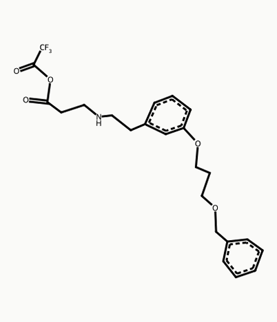 O=C(CCNCCc1cccc(OCCCOCc2ccccc2)c1)OC(=O)C(F)(F)F